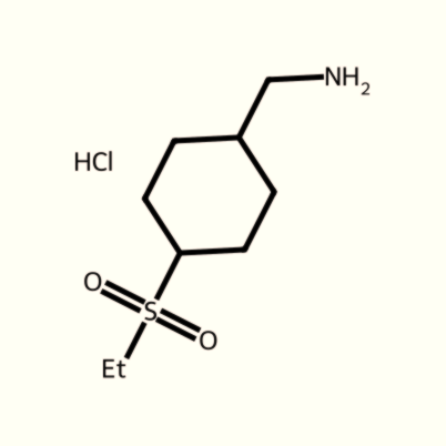 CCS(=O)(=O)C1CCC(CN)CC1.Cl